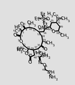 CC[C@@H]1OC(=O)[C@@](C)(F)C(=O)[C@H](C)C[C@](COC2O[C@H](C)C[C@H](N(C)C)[C@H]2O[Si](CC)(CC)CC)(OC)C[C@@H](C)C(=O)[C@H](C)[C@H]2[C@H](/C(N)=N/OCPN)C(=O)O[C@]21C